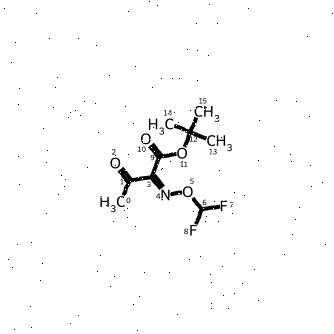 CC(=O)C(=NOC(F)F)C(=O)OC(C)(C)C